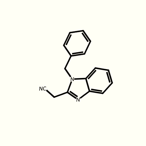 N#CCc1nc2ccccc2n1Cc1ccccc1